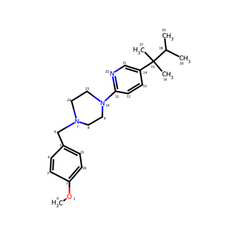 COc1ccc(CN2CCN(c3ccc(C(C)(C)C(C)C)cn3)CC2)cc1